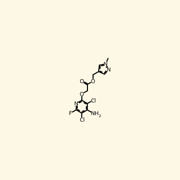 Cn1cc(COC(=O)COc2nc(F)c(Cl)c(N)c2Cl)cn1